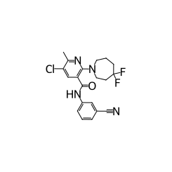 Cc1nc(N2CCCC(F)(F)CC2)c(C(=O)Nc2cccc(C#N)c2)cc1Cl